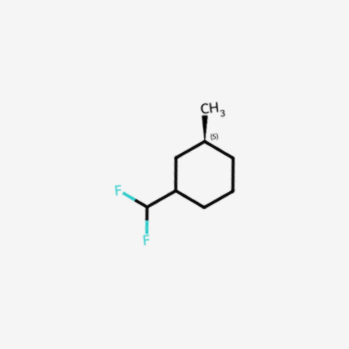 C[C@H]1CCCC(C(F)F)C1